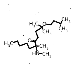 CCCCCC(C)(NC)C(=O)CCC(C)(C)OCCC(C)C